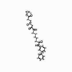 COC(=O)CC[S+]([O-])CC(=O)NCCCCCC(=O)Nc1cccc(-c2ccccc2)c1